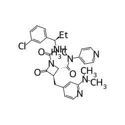 CC[C@@H](NC(=O)N1C(=O)[C@H](Cc2ccnc(N(C)C)c2)[C@H]1C(=O)N(C)c1ccncc1)c1cccc(Cl)c1